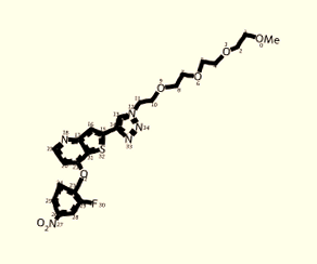 COCCOCCOCCOCCn1cc(-c2cc3nccc(Oc4ccc([N+](=O)[O-])cc4F)c3s2)nn1